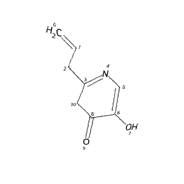 C=CCC1=NC=C(O)C(=O)C1